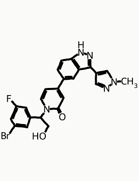 Cn1cc(-c2n[nH]c3ccc(-c4ccn(C(CO)c5cc(F)cc(Br)c5)c(=O)c4)cc23)cn1